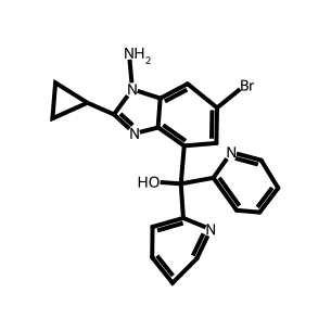 Nn1c(C2CC2)nc2c(C(O)(c3ccccn3)c3ccccn3)cc(Br)cc21